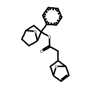 O=C(CC1CC2C=CC1O2)OC1(c2ccccc2)CC2CCC1O2